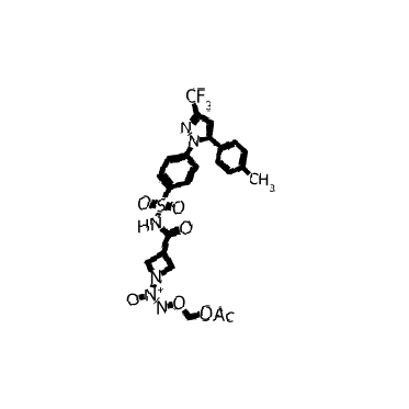 CC(=O)OCO/N=[N+](/[O-])N1CC(C(=O)NS(=O)(=O)c2ccc(-n3nc(C(F)(F)F)cc3-c3ccc(C)cc3)cc2)C1